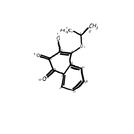 CC(C)OC1=C(Cl)C(=O)C(=O)c2ccccc21